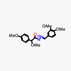 COc1ccc(C(OC)C(=O)N/N=C/c2ccc(OC)c(OC)c2)cc1